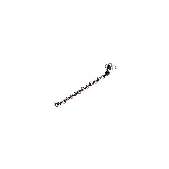 CC(=O)NCc1cn(CCOCCOCCOCCOCCOCCOCCOCCOCCOCCOCCOCCNC=O)nn1